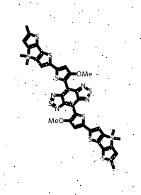 COc1cc(-c2cc3c(s2)-c2sc(C)cc2S3(C)C)sc1-c1c2c(c(-c3sc(-c4cc5c(s4)-c4sc(C)cc4S5(C)C)cc3OC)c3nsnc13)N=S=N2